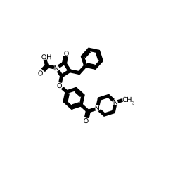 CN1CCN(C(=O)c2ccc(OC3C(Cc4ccccc4)C(=O)N3C(=O)O)cc2)CC1